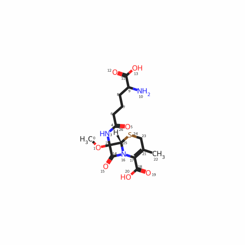 COC1(NC(=O)CCCC(N)C(=O)O)C(=O)N2C(C(=O)O)=C(C)CS[C@H]21